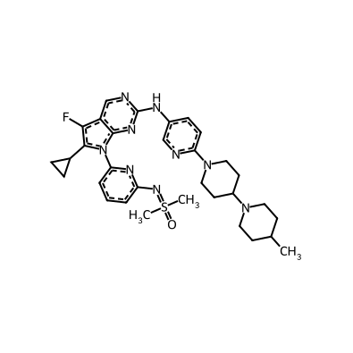 CC1CCN(C2CCN(c3ccc(Nc4ncc5c(F)c(C6CC6)n(-c6cccc(N=S(C)(C)=O)n6)c5n4)cn3)CC2)CC1